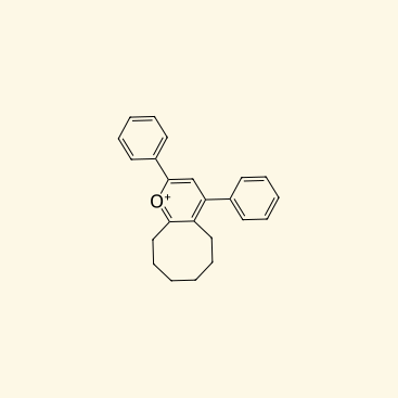 c1ccc(-c2cc(-c3ccccc3)c3c([o+]2)CCCCCC3)cc1